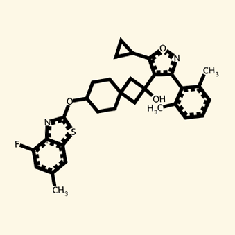 Cc1cc(F)c2nc(OC3CCC4(CC3)CC(O)(c3c(-c5c(C)cccc5C)noc3C3CC3)C4)sc2c1